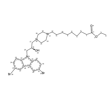 CCOC(=O)CCCCCCCCN1CCN(C[C@@H](O)Cn2c3ccc(Br)cc3c3cc(Br)ccc32)CC1